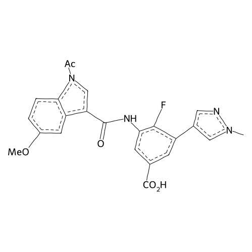 COc1ccc2c(c1)c(C(=O)Nc1cc(C(=O)O)cc(-c3cnn(C)c3)c1F)cn2C(C)=O